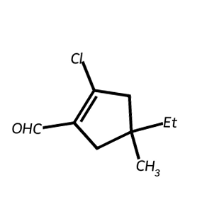 CCC1(C)CC(Cl)=C(C=O)C1